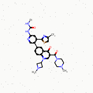 CCNC(=O)Nc1cc(-c2nc(C(F)(F)F)cs2)c(-c2ccc3c(c2)c(=O)c(C(=O)N2CCN(C)CC2)cn3C2CN(C)C2)cn1